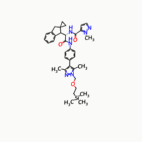 Cc1nn(COCC[Si](C)(C)C)c(C)c1-c1ccc(NC(=O)[C@@H](NC(=O)c2ccnn2C)C2c3ccccc3CC23CC3)cc1